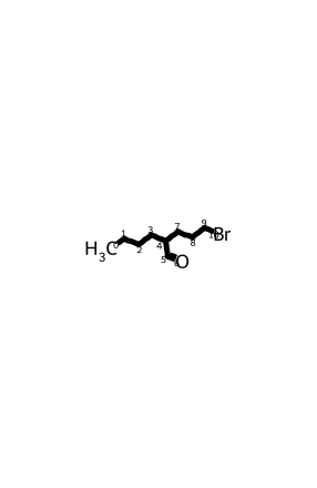 CCCCC(C=O)CCCBr